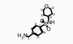 NCc1ccc(S(=O)(=O)NC2CCOCC2)cc1